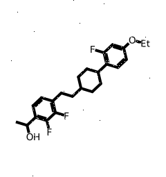 CCOc1ccc(C2CCC(CCc3ccc(C(C)O)c(F)c3F)CC2)c(F)c1